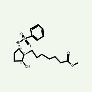 COC(=O)CCCCCC[C@@H]1[C@@H](NS(=O)(=O)c2ccccc2)CC[C@@H]1O